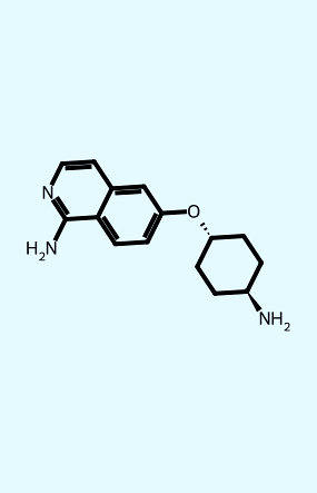 Nc1nccc2cc(O[C@H]3CC[C@H](N)CC3)ccc12